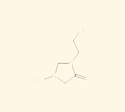 CCCN1CN(C)CC1=O